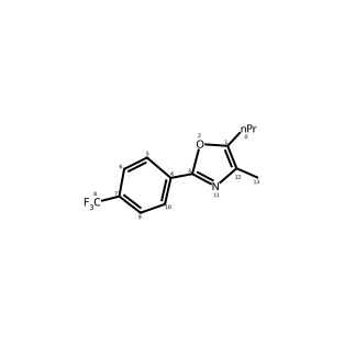 CCCc1oc(-c2ccc(C(F)(F)F)cc2)nc1C